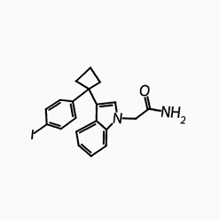 NC(=O)Cn1cc(C2(c3ccc(I)cc3)CCC2)c2ccccc21